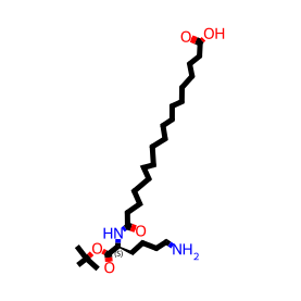 CC(C)(C)OC(=O)[C@H](CCCCN)NC(=O)CCCCCCCCCCCCCCCCC(=O)O